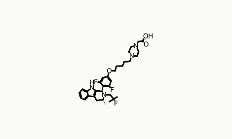 C[C@@H]1Cc2c([nH]c3ccccc23)[C@@H](c2c(F)cc(OCCCCCN3CCN(CC(=O)O)CC3)cc2F)N1CC(C)(C)F